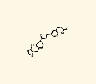 Cc1ccsc1CC1=CCN(C(=O)/C=C/c2cnc3c(c2)CCC(=O)N3)CC1